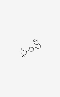 CC1(C)CC(c2ccc(-c3ccccc3CO)cc2)CC(C)(C)C1